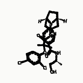 C[C@H](CO)NC(=O)c1ccc(N2[C@@H]3CC[C@H]2C[C@@H](NC(=O)C(C)(C)Oc2ccc(Cl)cc2Cl)C3)nc1